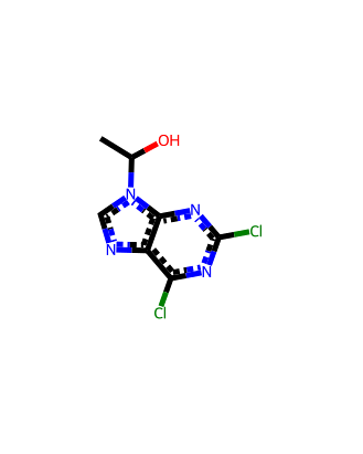 CC(O)n1cnc2c(Cl)nc(Cl)nc21